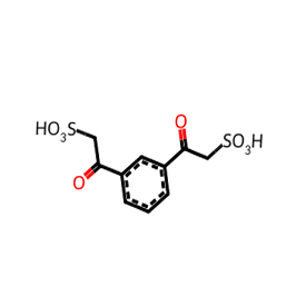 O=C(CS(=O)(=O)O)c1cccc(C(=O)CS(=O)(=O)O)c1